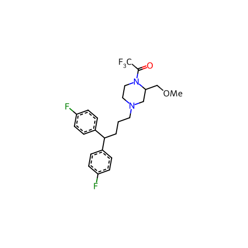 COCC1CN(CCCC(c2ccc(F)cc2)c2ccc(F)cc2)CCN1C(=O)C(F)(F)F